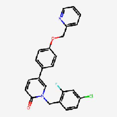 O=c1ccc(-c2ccc(OCc3ccccn3)cc2)cn1Cc1ccc(Cl)cc1F